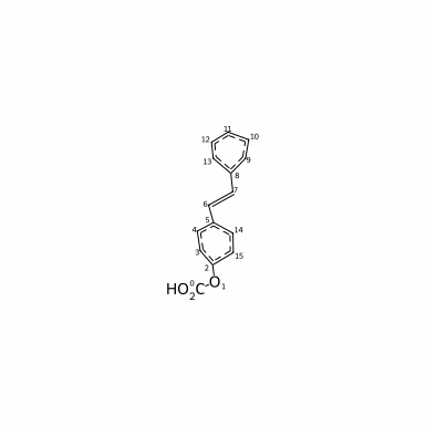 O=C(O)Oc1ccc(C=Cc2ccccc2)cc1